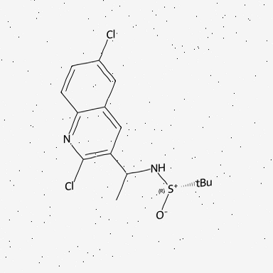 CC(N[S@@+]([O-])C(C)(C)C)c1cc2cc(Cl)ccc2nc1Cl